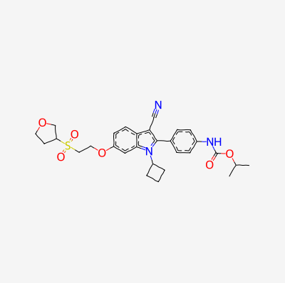 CC(C)OC(=O)Nc1ccc(-c2c(C#N)c3ccc(OCCS(=O)(=O)C4CCOC4)cc3n2C2CCC2)cc1